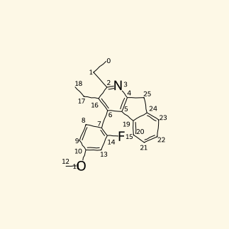 CCc1nc2c(c(-c3ccc(OC)cc3F)c1CC)-c1ccccc1C2